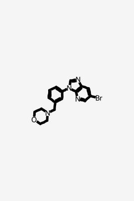 Brc1cnc2c(c1)ncn2-c1cccc(CN2CCOCC2)c1